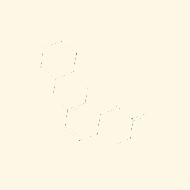 O=C1COC2C=CC(CC3CCCNC3)=C(F)C2N1